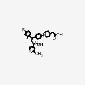 Cc1cc(C(CC(c2ccc(N3CCC(CC(=O)O)CC3)cc2)c2ccc(F)cc2F)=NO)ccn1